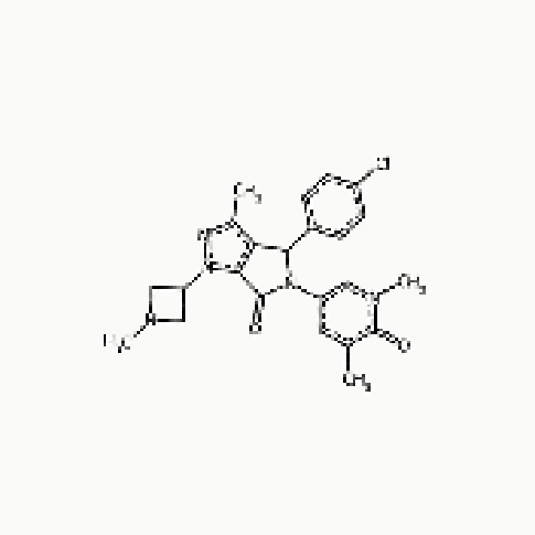 Cc1nn(C2CN(C)C2)c2c1C(c1ccc(Cl)cc1)N(c1cc(C)c(=O)n(C)c1)C2=O